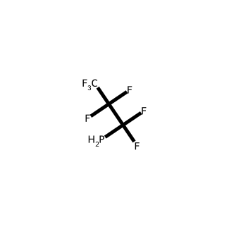 FC(F)(F)C(F)(F)C(F)(F)P